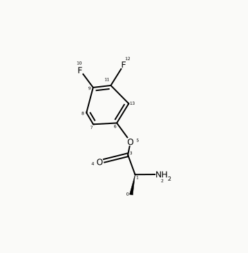 C[C@H](N)C(=O)Oc1ccc(F)c(F)c1